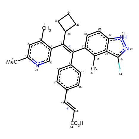 COc1cc(C)c(/C(=C(\c2ccc(/C=C/C(=O)O)cc2)c2ccc3[nH]nc(F)c3c2C#N)C2CCC2)cn1